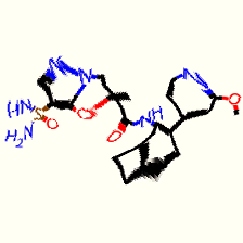 COc1cc(-c2ccc3c(c2NC(=O)C2(C)Cn4ncc(S(=N)(N)=O)c4O2)CC3)ccn1